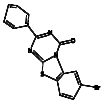 O=c1nc(-c2ccccc2)nc2sc3ccc(Br)cc3n12